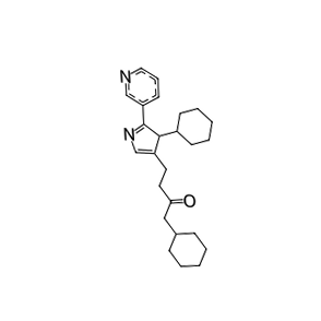 O=C(CCC1=CN=C(c2cccnc2)C1C1CCCCC1)CC1CCCCC1